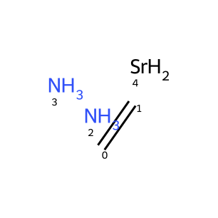 C=C.N.N.[SrH2]